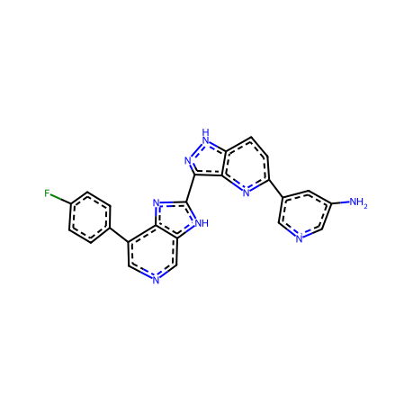 Nc1cncc(-c2ccc3[nH]nc(-c4nc5c(-c6ccc(F)cc6)cncc5[nH]4)c3n2)c1